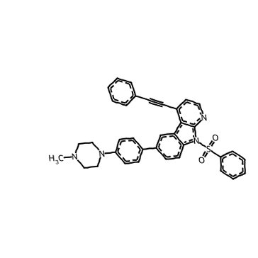 CN1CCN(c2ccc(-c3ccc4c(c3)c3c(C#Cc5ccccc5)ccnc3n4S(=O)(=O)c3ccccc3)cc2)CC1